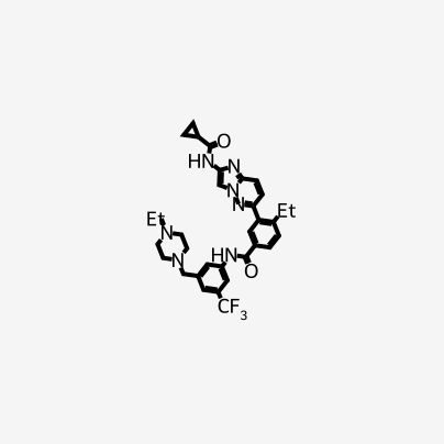 CCc1ccc(C(=O)Nc2cc(CN3CCN(CC)CC3)cc(C(F)(F)F)c2)cc1-c1ccc2nc(NC(=O)C3CC3)cn2n1